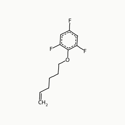 C=CCCCCOc1c(F)cc(F)cc1F